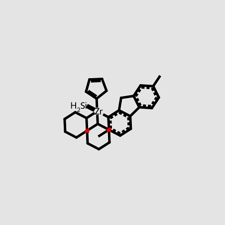 Cc1ccc2c(c1)Cc1c-2ccc(C)[c]1[Zr](=[SiH2])([C]1=CC=CC1)([CH]1CCCCC1)[CH]1CCCCC1